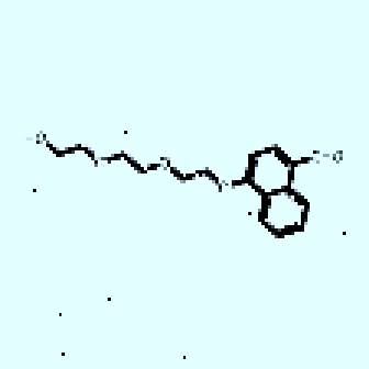 O=Cc1ccc(OCCOCCOCCO)c2ccccc12